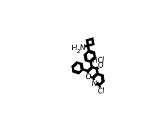 Cl.NC1(c2ccc(-c3c(-c4ccccc4)oc4nc(Cl)ccc4c3=O)cc2)CCC1